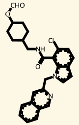 O=COC1CCC(CNC(=O)c2c(Cl)ccc3ccn(Cc4cc5ccccc5cn4)c23)CC1